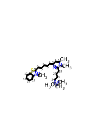 CC1=C/C(=C/C=C/C=C/c2sc3ccccc3[n+]2C)N=C(CCCC[N+](C)(C)C)N1C